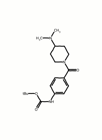 CN(C)C1CCN(C(=O)c2ccc(NC(=O)OC(C)(C)C)cc2)CC1